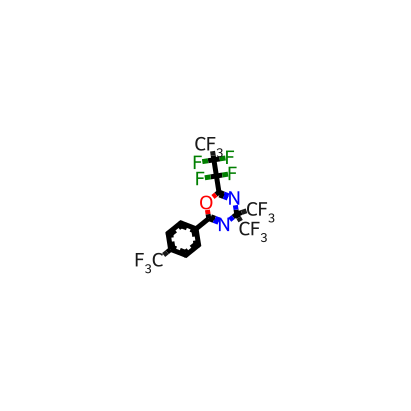 FC(F)(F)c1ccc(C2=NC(C(F)(F)F)(C(F)(F)F)N=C(C(F)(F)C(F)(F)C(F)(F)F)O2)cc1